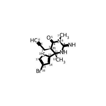 C#CC[C@H]1C(=O)N(C)C(=N)N[C@]1(C)c1cc(Br)cs1